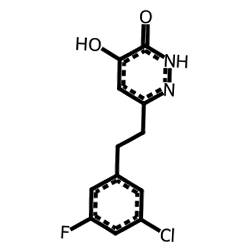 O=c1[nH]nc(CCc2cc(F)cc(Cl)c2)cc1O